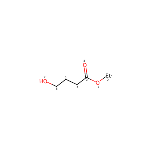 C[CH]OC(=O)CCCO